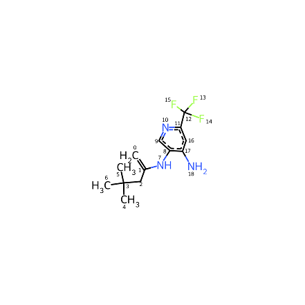 C=C(CC(C)(C)C)Nc1cnc(C(F)(F)F)cc1N